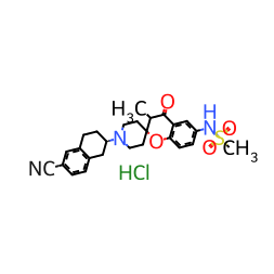 CC1C(=O)c2cc(NS(C)(=O)=O)ccc2OC12CCN([C@@H]1CCc3cc(C#N)ccc3C1)CC2.Cl